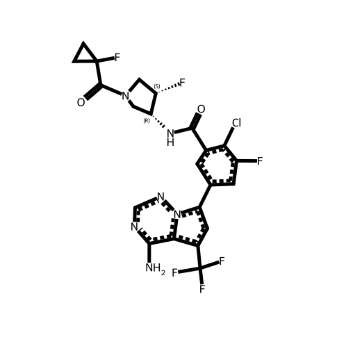 Nc1ncnn2c(-c3cc(F)c(Cl)c(C(=O)N[C@@H]4CN(C(=O)C5(F)CC5)C[C@@H]4F)c3)cc(C(F)(F)F)c12